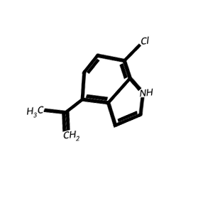 C=C(C)c1ccc(Cl)c2[nH]ccc12